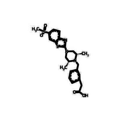 C[C@@H]1CN(c2nc3ccc(S(C)(=O)=O)cc3s2)C[C@H](C)N1Cc1cccc(CC(=O)O)c1